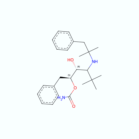 CC(C)(Cc1ccccc1)NC([C@@H](O)[C@H](Cc1ccccc1)OC(N)=O)C(C)(C)C